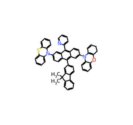 CC1(C)c2ccccc2-c2ccc(-c3c4cc(N5C6=C(CCC=C6)Oc6ccccc65)ccc4c(-c4ccccn4)c4cc(N5c6ccccc6Sc6ccccc65)ccc34)cc21